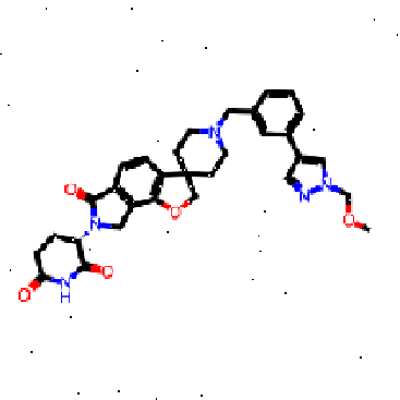 COCn1cc(-c2cccc(CN3CCC4(CC3)COc3c4ccc4c3CN([C@H]3CCC(=O)NC3=O)C4=O)c2)cn1